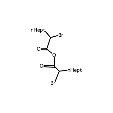 CCCCCCCC(Br)C(=O)OC(=O)C(Br)CCCCCCC